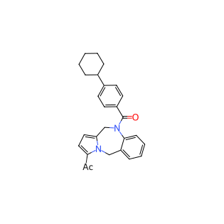 CC(=O)c1ccc2n1Cc1ccccc1N(C(=O)c1ccc(C3CCCCC3)cc1)C2